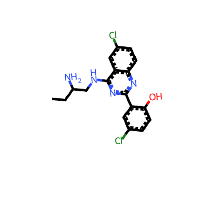 CCC(N)CNc1nc(-c2cc(Cl)ccc2O)nc2ccc(Cl)cc12